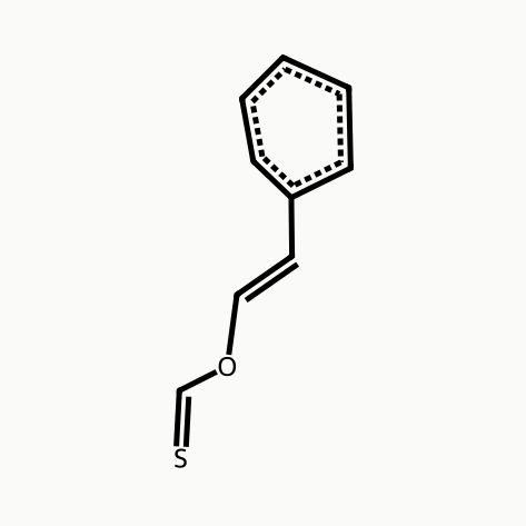 S=COC=Cc1ccccc1